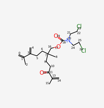 C=C(C)C(=C)CCC(C)(CCC(=O)C(=C)C)COC(=O)N(CCCl)CCCl